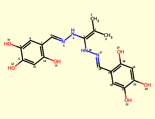 CC(C)=C(N/N=C/c1cc(O)c(O)cc1O)N/N=C/c1cc(O)c(O)cc1O